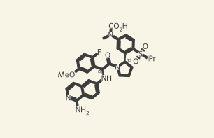 COc1ccc(F)c([C@H](Nc2ccc3c(N)nccc3c2)C(=O)N2CCC[C@@H]2c2cc(N(C)C(=O)O)ccc2S(=O)(=O)C(C)C)c1